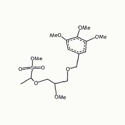 COc1cc(COCC(COC(C)S(=O)(=O)OC)OC)cc(OC)c1OC